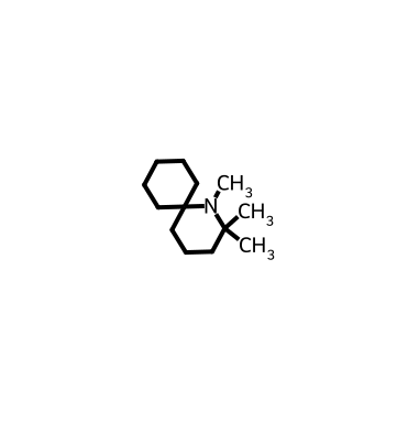 CN1C(C)(C)CCCC12CCCCC2